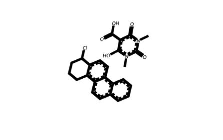 ClC1CCCc2c1ccc1c2ccc2ccccc21.Cn1c(O)c(C(=O)O)c(=O)n(C)c1=O